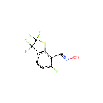 ON=Cc1c(F)ccc2c1SC(F)(F)C2(F)F